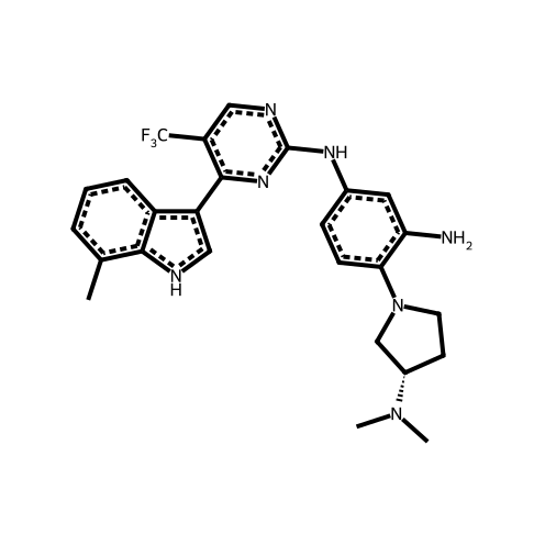 Cc1cccc2c(-c3nc(Nc4ccc(N5CC[C@H](N(C)C)C5)c(N)c4)ncc3C(F)(F)F)c[nH]c12